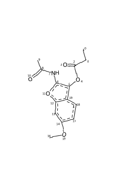 CCC(=O)Oc1c(NC(C)=O)oc2cc(OC)ccc12